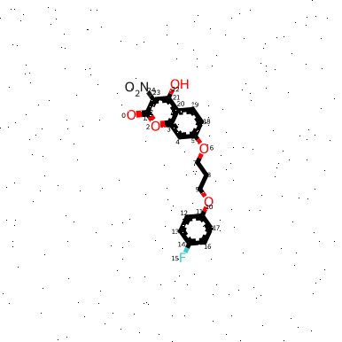 O=c1oc2cc(OCCCOc3ccc(F)cc3)ccc2c(O)c1[N+](=O)[O-]